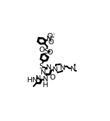 COc1c(Nc2cc(C)[nH]n2)nc(Sc2ccc(S(=O)(=O)Cc3ccccc3[N+](=O)[O-])cc2)nc1N1CCN(CCN(C)C)CC1